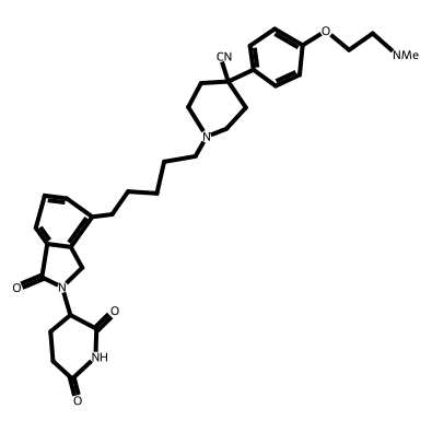 CNCCOc1ccc(C2(C#N)CCN(CCCCCc3cccc4c3CN(C3CCC(=O)NC3=O)C4=O)CC2)cc1